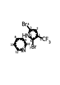 FC(F)(F)c1cc(Br)[nH]c1Br.c1ccncc1